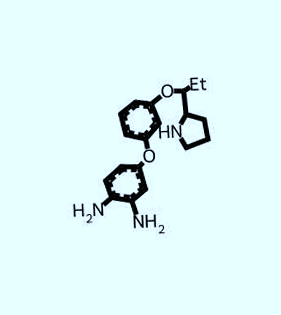 CCC(Oc1cccc(Oc2ccc(N)c(N)c2)c1)C1CCCN1